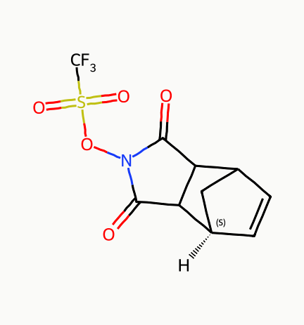 O=C1C2C3C=C[C@H](C3)C2C(=O)N1OS(=O)(=O)C(F)(F)F